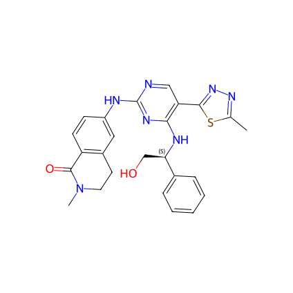 Cc1nnc(-c2cnc(Nc3ccc4c(c3)CCN(C)C4=O)nc2N[C@H](CO)c2ccccc2)s1